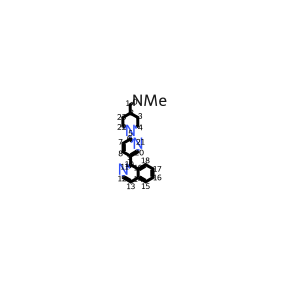 CNCC1CCN(c2ccc(-c3nccc4ccccc34)cn2)CC1